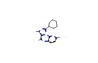 COc1ccc2nc(C#N)c3c(C)nc(C4CCCCC4)n3c2n1